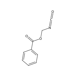 O=C=NCOC(=O)c1ccccc1